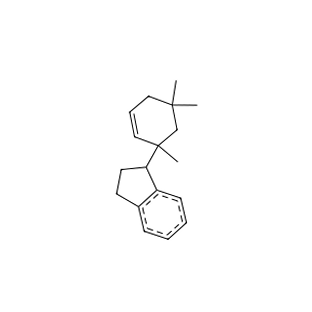 CC1(C)CC=CC(C)(C2CCc3ccccc32)C1